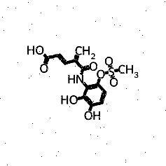 C=C(C=CC(=O)O)C(=O)Nc1c(OS(C)(=O)=O)ccc(O)c1O